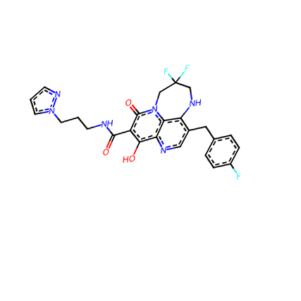 O=C(NCCCn1cccn1)c1c(O)c2ncc(Cc3ccc(F)cc3)c3c2n(c1=O)CC(F)(F)CN3